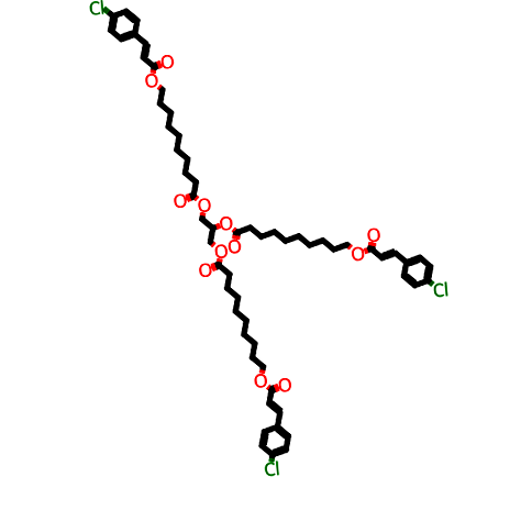 O=C(C=Cc1ccc(Cl)cc1)OCCCCCCCCCC(=O)OCC(COC(=O)CCCCCCCCCOC(=O)C=Cc1ccc(Cl)cc1)OC(=O)CCCCCCCCCOC(=O)C=Cc1ccc(Cl)cc1